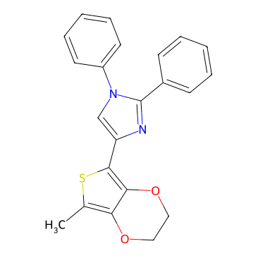 Cc1sc(-c2cn(-c3ccccc3)c(-c3ccccc3)n2)c2c1OCCO2